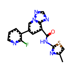 Cc1csc(NC(=O)c2cc(-c3cccnc3F)cn3ncnc23)n1